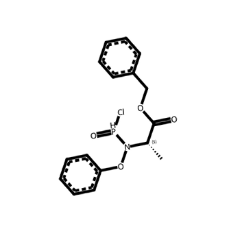 C[C@@H](C(=O)OCc1ccccc1)N(Oc1ccccc1)[PH](=O)Cl